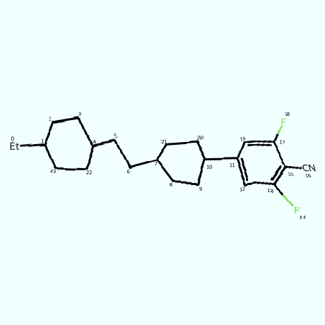 CCC1CCC(CCC2CCC(c3cc(F)c(C#N)c(F)c3)CC2)CC1